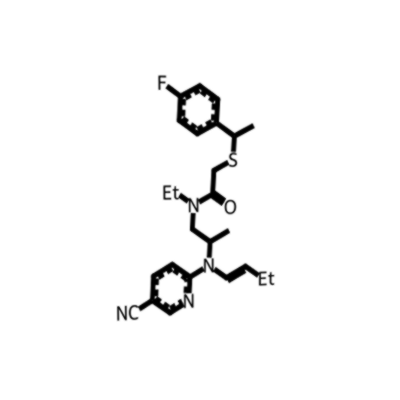 CCC=CN(c1ccc(C#N)cn1)C(C)CN(CC)C(=O)CSC(C)c1ccc(F)cc1